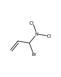 C=CC(Br)N(Cl)Cl